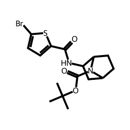 CC(C)(C)OC(=O)N1C2CCC1C(NC(=O)c1ccc(Br)s1)C2